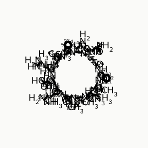 CC[C@H](C)[C@@H]1NC(=O)[C@H](CC(C)C)NC(=O)[C@H](Cc2ccccc2)NC(=O)CSC[C@@H](C(=O)NCC(N)=O)NC(=O)[C@H](CCCN)NC(=O)[C@H](Cc2ccccc2)NC(=O)[C@H](CC(C)C)NC(=O)[C@H](CCCNC(=N)N)NC(=O)[C@H](CCC(=O)O)NC(=O)[C@H](CCCNC(=N)N)NC(=O)[C@H]([C@@H](C)CC)NC(=O)[C@H](C(C)C)NC1=O